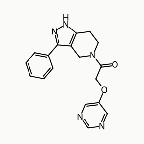 O=C(COc1cncnc1)N1CCc2[nH]nc(-c3ccccc3)c2C1